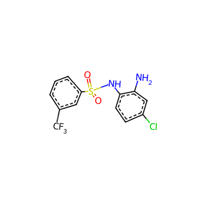 Nc1cc(Cl)ccc1NS(=O)(=O)c1cccc(C(F)(F)F)c1